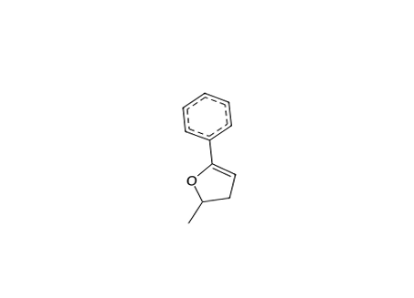 CC1CC=C(c2ccccc2)O1